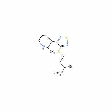 CCOC(=O)C(CC)CCSc1nsnc1C1=CCCNC1C